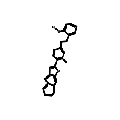 CCOc1ccccc1C=Cc1ccc(-c2cc3cc4ccccc4cc3o2)c(I)c1